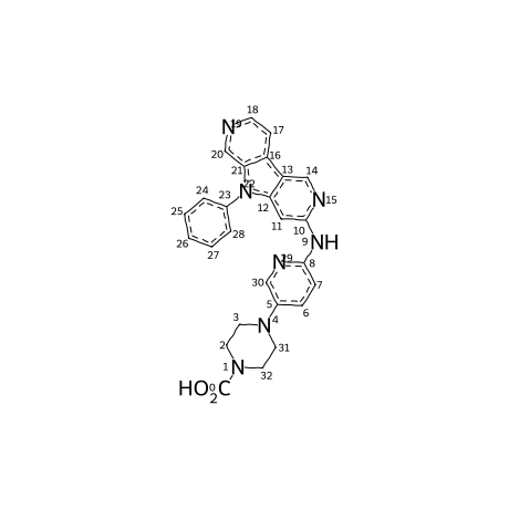 O=C(O)N1CCN(c2ccc(Nc3cc4c(cn3)c3ccncc3n4-c3ccccc3)nc2)CC1